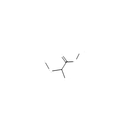 CCCC(NI)C(=O)OC(C)(C)C